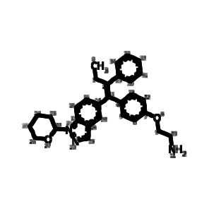 CC/C(=C(/c1ccc(OCCN)cc1)c1ccc2c(cnn2C2CCCCO2)c1)c1ccccc1